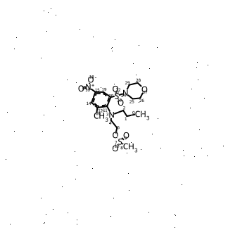 CCCN(CCOS(C)(=O)=O)c1c(C)cc([N+](=O)[O-])cc1S(=O)(=O)N1CCOCC1